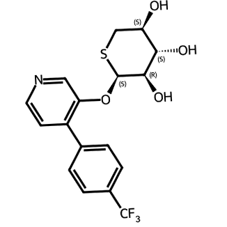 O[C@@H]1[C@@H](O)[C@@H](Oc2cnccc2-c2ccc(C(F)(F)F)cc2)SC[C@H]1O